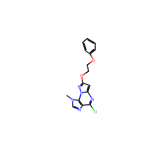 Cn1cnc2c(Cl)nc3cc(OCCOc4ccccc4)nn3c21